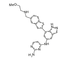 COCCNCc1ccc2sc(-c3cc(Nc4ccnc(N)n4)cc4cn[nH]c34)cc2c1